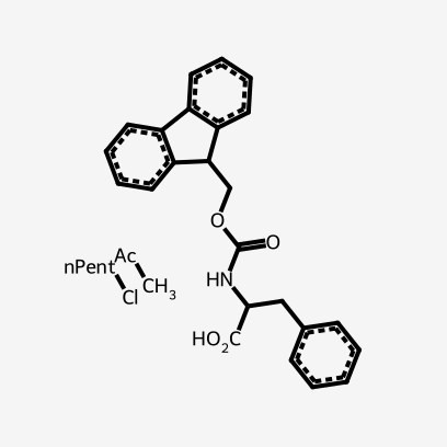 CC(C)=O.CCCCCCl.O=C(NC(Cc1ccccc1)C(=O)O)OCC1c2ccccc2-c2ccccc21